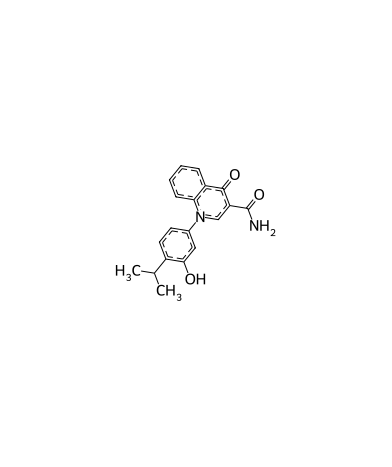 CC(C)c1ccc(-n2cc(C(N)=O)c(=O)c3ccccc32)cc1O